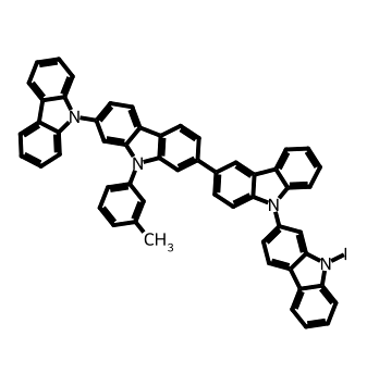 Cc1cccc(-n2c3cc(-c4ccc5c(c4)c4ccccc4n5-c4ccc5c6ccccc6n(I)c5c4)ccc3c3ccc(-n4c5ccccc5c5ccccc54)cc32)c1